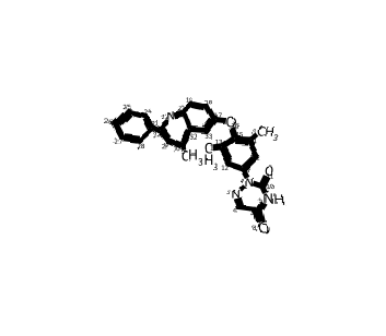 Cc1cc(-n2ncc(=O)[nH]c2=O)cc(C)c1Oc1ccc2nc(-c3ccccc3)cc(C)c2c1